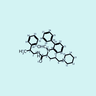 CC(CNC(=O)[C@H](CCCN1CCCCC1)N(C=O)c1ccccc1-c1ccccc1)c1ccccc1